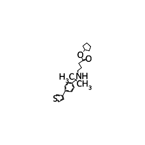 CC(C)(NCCCC(=O)OC1CCCC1)c1ccc(-c2ccsc2)cc1